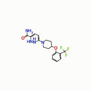 NC(=O)C1=CC=C(N2CCC(Oc3ccccc3C(F)(F)F)CC2)NN1